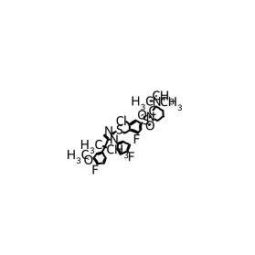 COc1cc(C(C)(C)c2cnc(SCc3c(F)cc(S(=O)(=O)N4CCC[C@@H]([N+](C)(C)C)C4)cc3Cl)n2-c2ccc(F)cc2)ccc1F